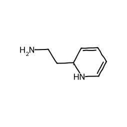 NCC[C]1C=CC=CN1